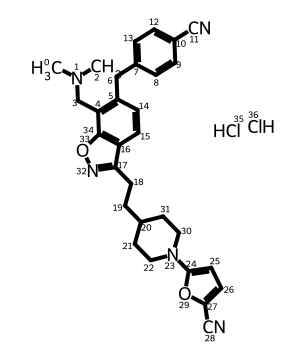 CN(C)Cc1c(Cc2ccc(C#N)cc2)ccc2c(CCC3CCN(c4ccc(C#N)o4)CC3)noc12.Cl.Cl